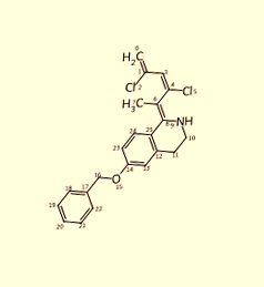 C=C(Cl)/C=C(Cl)\C(C)=C1/NCCc2cc(OCc3ccccc3)ccc21